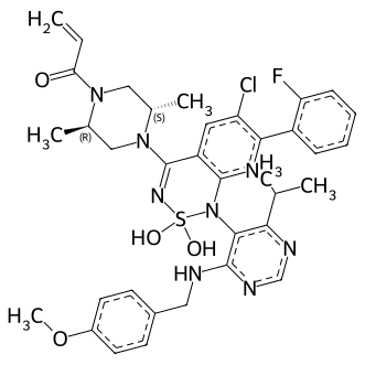 C=CC(=O)N1C[C@H](C)N(C2=NS(O)(O)N(c3c(NCc4ccc(OC)cc4)ncnc3C(C)C)c3nc(-c4ccccc4F)c(Cl)cc32)C[C@H]1C